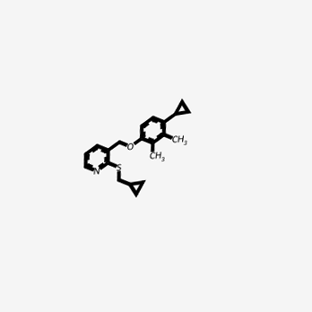 Cc1c(OCc2cccnc2SCC2CC2)ccc(C2CC2)c1C